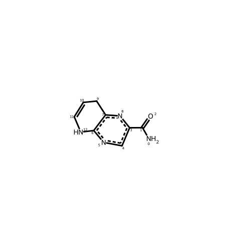 NC(=O)c1cnc2c(n1)CC=CN2